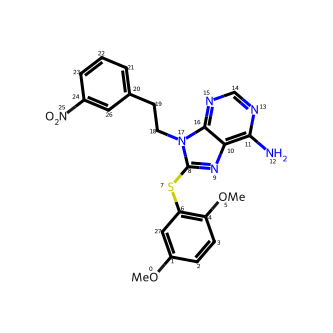 COc1ccc(OC)c(Sc2nc3c(N)ncnc3n2CCc2cccc([N+](=O)[O-])c2)c1